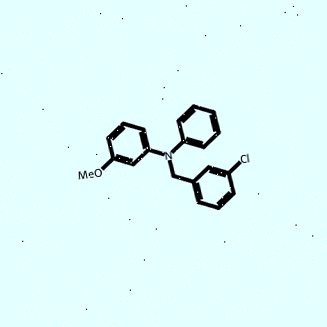 COc1cccc(N(Cc2cccc(Cl)c2)c2ccccc2)c1